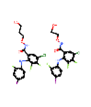 O=C(NOCCCO)c1cc(Cl)c(F)c(F)c1Nc1ccc(I)cc1F.O=C(NOCCO)c1cc(Cl)c(F)c(F)c1Nc1ccc(I)cc1F